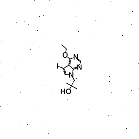 CCOc1ncnc2c1c(I)cn2CC(C)(C)O